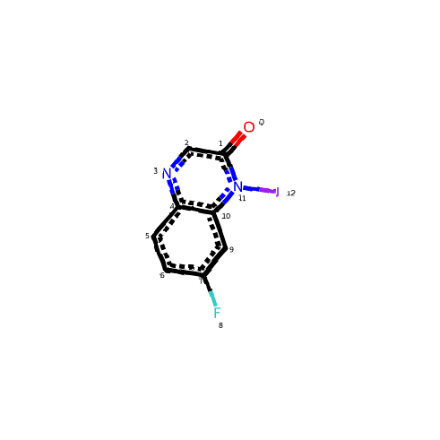 O=c1cnc2ccc(F)cc2n1I